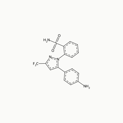 Nc1ccc(-c2cc(C(F)(F)F)nn2-c2ccccc2S(N)(=O)=O)cc1